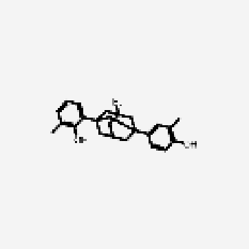 CCC12CC3CC(c4ccc(O)c(C)c4)(C1)CC(c1cccc(C)c1O)(C3)C2